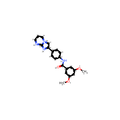 COc1cc(OC)cc(C(=O)Nc2ccc(-c3cn4cccnc4n3)cc2)c1